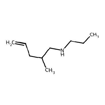 C=CCC(C)CNCCC